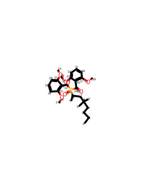 CCCCC(C)(C)CC(C)P(=O)(C(=O)c1c(OC)cccc1OC)C(=O)c1c(OC)cccc1OC